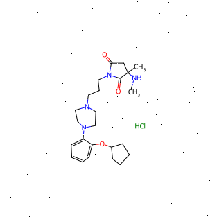 CNC1(C)CC(=O)N(CCCN2CCN(c3ccccc3OC3CCCC3)CC2)C1=O.Cl